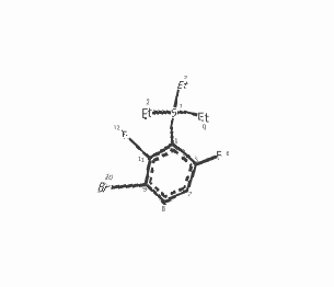 CCS(CC)(CC)c1c(F)ccc(Br)c1F